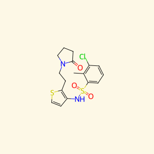 Cc1c(Cl)cccc1S(=O)(=O)Nc1ccsc1CCN1CCCC1=O